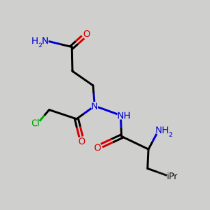 CC(C)CC(N)C(=O)NN(CCC(N)=O)C(=O)CCl